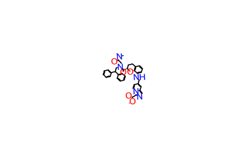 COC(=O)c1ncc2cc(CNc3cccc4c3O[C@@H](C(=O)N(CC(=O)N(C)C)CC(c3ccccc3)c3ccccc3)CC4)ccn12